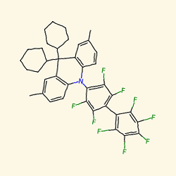 Cc1ccc2c(c1)C(C1CCCCC1)(C1CCCCC1)c1cc(C)ccc1N2c1c(F)c(F)c(-c2c(F)c(F)c(F)c(F)c2F)c(F)c1F